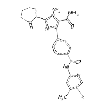 Cc1cc(NC(=O)c2ccc(-c3nc(C4CCCCN4)n(N)c3C(N)=O)cc2)ncc1F